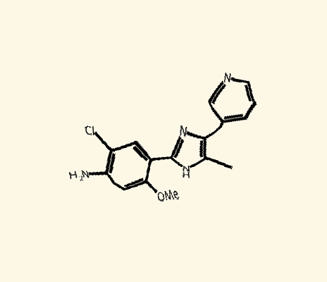 COc1cc(N)c(Cl)cc1-c1nc(-c2cccnc2)c(C)[nH]1